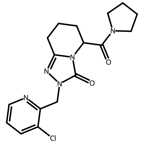 O=C(C1CCCc2nn(Cc3ncccc3Cl)c(=O)n21)N1CCCC1